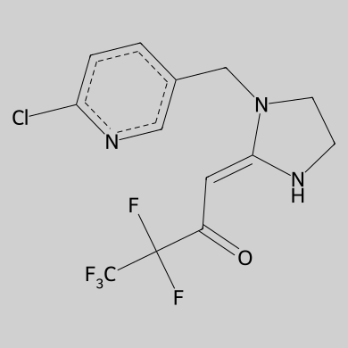 O=C(C=C1NCCN1Cc1ccc(Cl)nc1)C(F)(F)C(F)(F)F